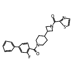 O=C(c1nccs1)N1CC(C2CCN(C(=O)c3ccc(-c4ccccc4)cc3F)CC2)C1